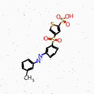 Cc1cccc(/N=N/c2cccc(S(=O)(=O)c3csc(S(=O)(=O)O)c3)c2)c1